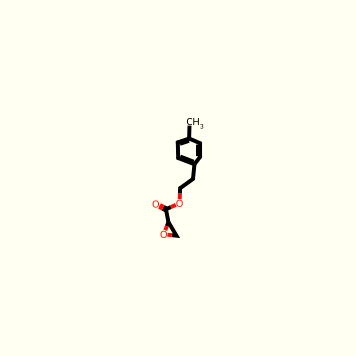 Cc1ccc(CCOC(=O)C2CO2)cc1